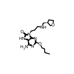 CCCCOc1nc(N)c2[nH]c(=O)n(CCCNC[C@H]3CCOC3)c2n1